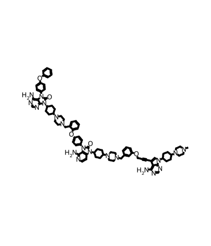 CN1CCN(C2CCC(n3cc(C#CCOc4cccc(CN5CCN(C6CCC(n7c(=O)n(-c8ccc(Oc9ccccc9CN9CCN(C%10CCC(n%11c(=O)n(-c%12ccc(Oc%13ccccc%13)cc%12)c%12c(N)ncnc%12%11)CC%10)CC9)cc8)c8c(N)nccc87)CC6)CC5)c4)c4c(N)ncnc43)CC2)CC1